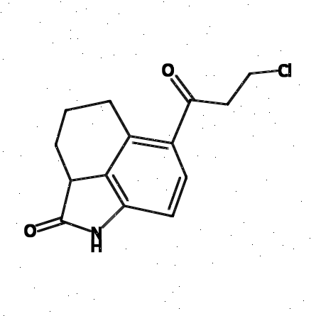 O=C(CCCl)c1ccc2c3c1CCCC3C(=O)N2